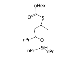 CCCCCCC(=O)SC(C)CC(CCC)O[SiH](CCC)CCC